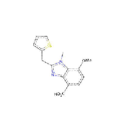 COc1ccc(C(=O)O)c2nc(Cc3cccs3)n(C)c12